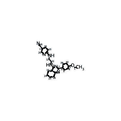 CCOc1ccc(-c2nc(NCCNc3ccc(C#N)cn3)c3ccccc3n2)cc1